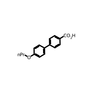 CCCOc1ccc(-c2ccc(C(=O)O)cc2)cc1